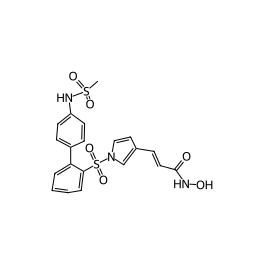 CS(=O)(=O)Nc1ccc(-c2ccccc2S(=O)(=O)n2ccc(C=CC(=O)NO)c2)cc1